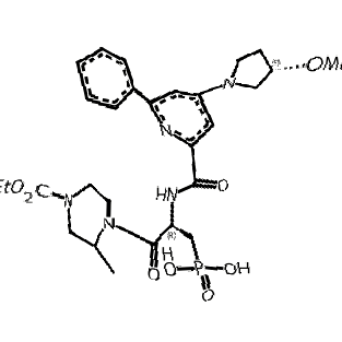 CCOC(=O)N1CCN(C(=O)[C@H](CP(=O)(O)O)NC(=O)c2cc(N3CC[C@H](OC)C3)cc(-c3ccccc3)n2)C(C)C1